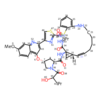 COc1ccc2c(O[C@@H]3C[C@@H](C(=O)N[C@]45C[C@H]4/C=C\CCCCCNc4ccccc4S(=O)(=O)NC5=O)N(C(=O)C(O)C(C)C)C3)cc(-c3csc(NC(C)C)n3)nc2c1